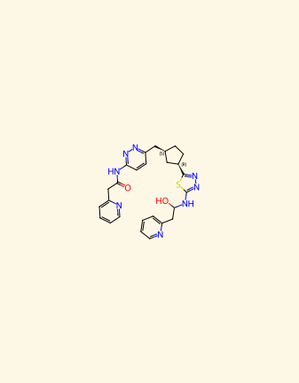 O=C(Cc1ccccn1)Nc1ccc(C[C@H]2CC[C@@H](c3nnc(NC(O)Cc4ccccn4)s3)C2)nn1